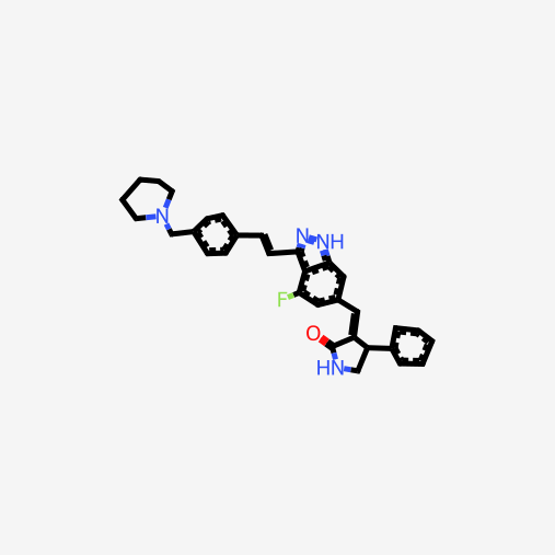 O=C1NCC(c2ccccc2)C1=Cc1cc(F)c2c(/C=C/c3ccc(CN4CCCCC4)cc3)n[nH]c2c1